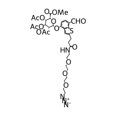 COC(=O)[C@H]1O[C@@H](Oc2ccc(C=O)c3sc(CCC(=O)NCCOCCOCCOCCN=[N+]=[N-])cc23)[C@H](OC(C)=O)[C@@H](OC(C)=O)[C@@H]1OC(C)=O